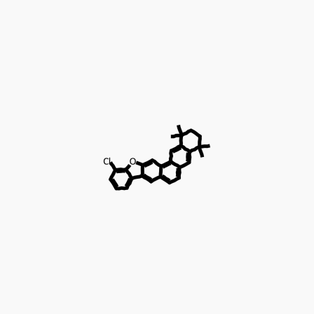 CC1(C)CCC(C)(C)c2cc3c(ccc4cc5c(cc43)oc3c(Cl)cccc35)cc21